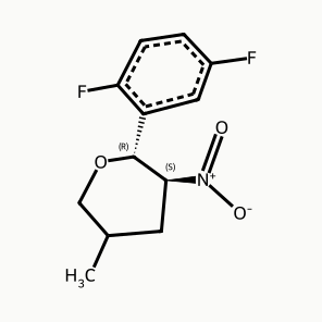 CC1CO[C@H](c2cc(F)ccc2F)[C@@H]([N+](=O)[O-])C1